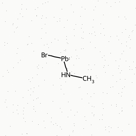 C[NH][Pb][Br]